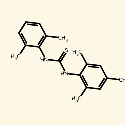 Cc1cc(C)c(NC(=S)Nc2c(C)cccc2C)c(C)c1